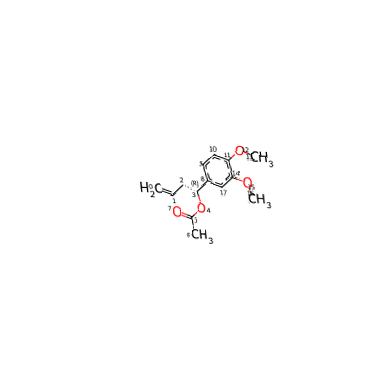 C=CC[C@@H](OC(C)=O)c1ccc(OC)c(OC)c1